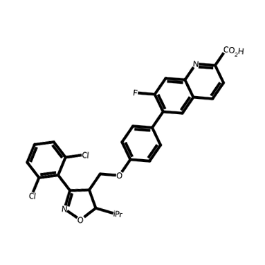 CC(C)C1ON=C(c2c(Cl)cccc2Cl)C1COc1ccc(-c2cc3ccc(C(=O)O)nc3cc2F)cc1